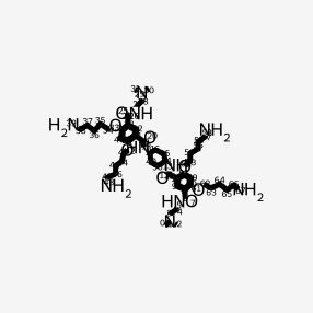 CN(C)CCNC(=O)c1cc(C(=O)N[C@H]2CC[C@H](NC(=O)c3cc(C(=O)NCCN(C)C)c(OCCCCCN)cc3OCCCCCN)CC2)c(OCCCCCN)cc1OCCCCCN